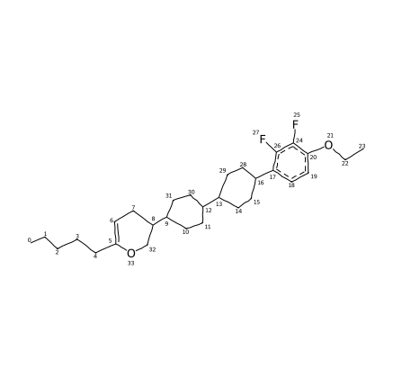 CCCCCC1=CCC(C2CCC(C3CCC(c4ccc(OCC)c(F)c4F)CC3)CC2)CO1